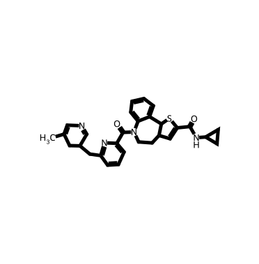 CC1=CN=CC(Cc2cccc(C(=O)N3CCC4C=C(C(=O)NC5CC5)SC4c4ccccc43)n2)C1